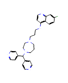 Clc1ccc2c(NCCCN3CCCN(C(c4ccncc4)c4ccncc4)CC3)ccnc2c1